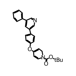 CC(C)(C)OC(=O)N1C=CC(Oc2ccc(-c3cncc(-c4ccccc4)c3)cc2)=CC1